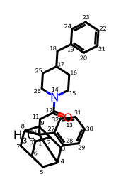 CC1C2CC3CC1CC(C2)C3(CC(=O)N1CCC(Cc2ccccc2)CC1)c1ccccc1